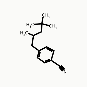 CC(Cc1ccc(C#N)cc1)CC(C)(C)C